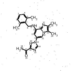 Cc1cccc(C)c1CNc1cc(-n2cnc(C(N)=O)n2)cn2c(C)c(C)nc12